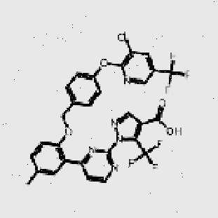 Cc1ccc(OCc2ccc(Oc3ncc(C(F)(F)F)cc3Cl)cc2)c(-c2ccnc(-n3ncc(C(=O)O)c3C(F)(F)F)n2)c1